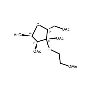 COCCO[C@@]1(OC(C)=O)[C@@H](COC(C)=O)O[C@H](OC(C)=O)[C@@H]1OC(C)=O